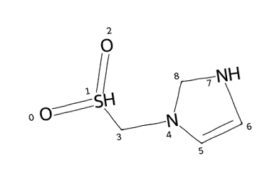 O=[SH](=O)CN1C=CNC1